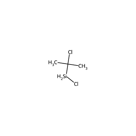 CC(C)(Cl)[SiH2]Cl